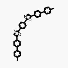 Cc1ccc(-c2ccc(-c3cnc(-c4ccc(-c5ncc(-c6ccc(-c7ccc(C)cc7)cc6)o5)cc4)o3)cc2)cc1